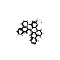 Cc1cc2c3c(c1)N1CCCc4c1c(cc1ccccc41)B3c1cc3ccccc3c3c1N2CCC3